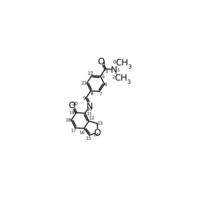 CN(C)C(=O)c1ccc(C=NC2=C3COC=C3C=CC2=O)cc1